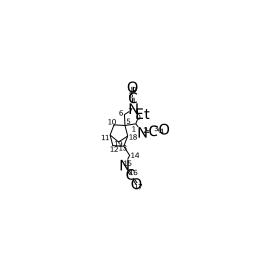 CCC(N=C=O)C1(CN=C=O)CC2CC(CN=C=O)C1C2